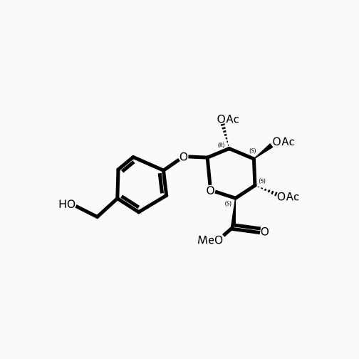 COC(=O)[C@H]1OC(Oc2ccc(CO)cc2)[C@H](OC(C)=O)[C@@H](OC(C)=O)[C@@H]1OC(C)=O